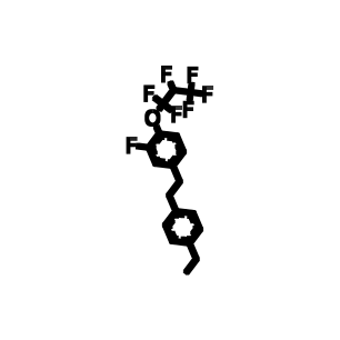 CCc1ccc(CCc2ccc(OC(F)(F)C(F)C(F)(F)F)c(F)c2)cc1